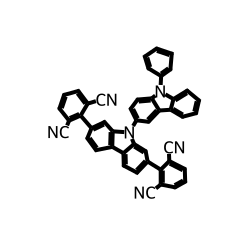 N#Cc1cccc(C#N)c1-c1ccc2c3ccc(-c4c(C#N)cccc4C#N)cc3n(-c3ccc4c(c3)c3ccccc3n4-c3ccccc3)c2c1